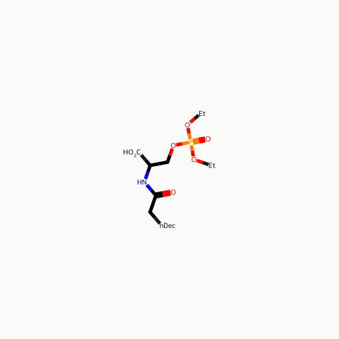 CCCCCCCCCCCC(=O)NC(COP(=O)(OCC)OCC)C(=O)O